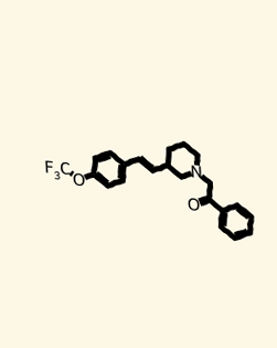 O=C(CN1CCCC(C=Cc2ccc(OC(F)(F)F)cc2)C1)c1ccccc1